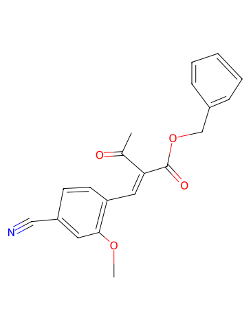 COc1cc(C#N)ccc1C=C(C(C)=O)C(=O)OCc1ccccc1